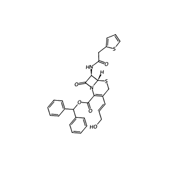 O=C(Cc1cccs1)N[C@@H]1C(=O)N2C(C(=O)OC(c3ccccc3)c3ccccc3)=C(C=CCO)CS[C@@H]12